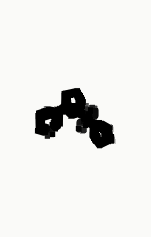 O=S(=O)(c1ccccc1)C1CC2(c3cccnc3)CCC1N2